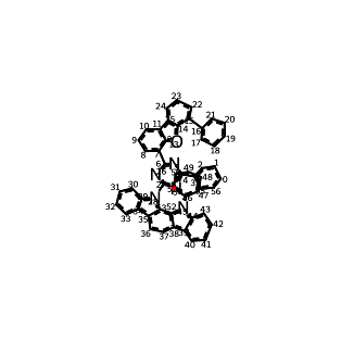 c1ccc(-c2nc(-c3cccc4c3oc3c(-c5ccccc5)cccc34)nc(-n3c4ccccc4c4ccc5c6ccccc6n(-c6ccccc6)c5c43)n2)cc1